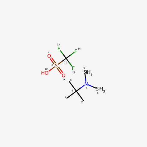 CC(C)(C)N([SiH3])[SiH3].O=S(=O)(O)C(F)(F)F